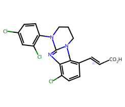 O=C(O)/C=C/c1ccc(Cl)c2nc3n(c12)CCCN3c1ccc(Cl)cc1Cl